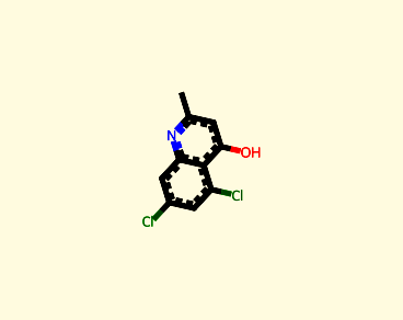 Cc1cc(O)c2c(Cl)cc(Cl)cc2n1